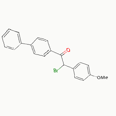 COc1ccc(C(Br)C(=O)c2ccc(-c3ccccc3)cc2)cc1